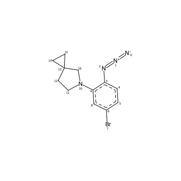 [N-]=[N+]=Nc1ccc(Br)cc1N1CCC2(CC2)C1